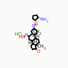 C[C@]12CCC(=NO[C@@H]3CCC[C@@H]3N)CC1C(=NO)C[C@@H]1[C@@H]2CC[C@]2(C)C(=O)CC[C@@H]12.Cl